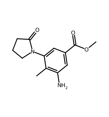 COC(=O)c1cc(N)c(C)c(N2CCCC2=O)c1